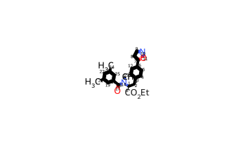 CCOC(=O)[C@@H](Cc1ccc(-c2ccno2)cc1)N(C)C(=O)c1cc(C)cc(C)c1